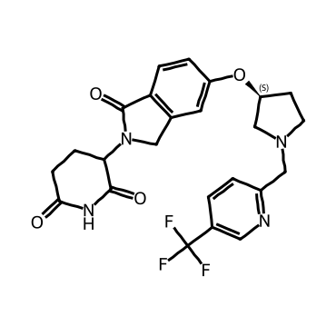 O=C1CCC(N2Cc3cc(O[C@H]4CCN(Cc5ccc(C(F)(F)F)cn5)C4)ccc3C2=O)C(=O)N1